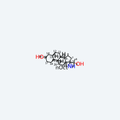 CCCCCCCCN[C@]1(C(C)(C)O)CC[C@H]2[C@@H]3CC=C4C[C@@H](O)CC[C@]4(C)[C@H]3CC[C@@]21C